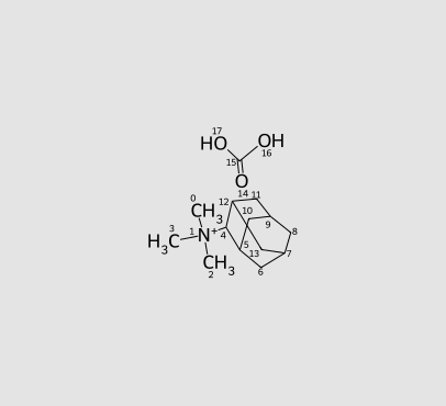 C[N+](C)(C)C1C2CC3CC(C2)CC1C3.O=C(O)O